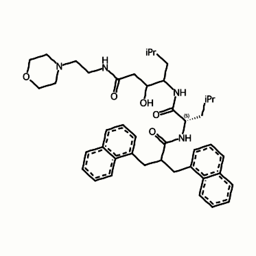 CC(C)CC(NC(=O)[C@H](CC(C)C)NC(=O)C(Cc1cccc2ccccc12)Cc1cccc2ccccc12)C(O)CC(=O)NCCN1CCOCC1